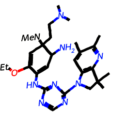 CCOC1=CC(CCN(C)C)(NC)C(N)C=C1Nc1ncnc(N2CC(C)(C)c3nc(C)c(C)cc32)n1